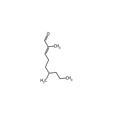 CCCC(C)CC/C=C(\C)C=O